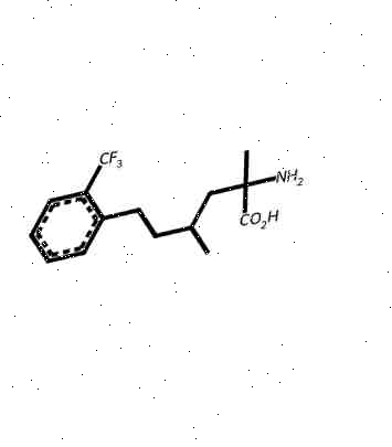 CC(CCc1ccccc1C(F)(F)F)CC(C)(N)C(=O)O